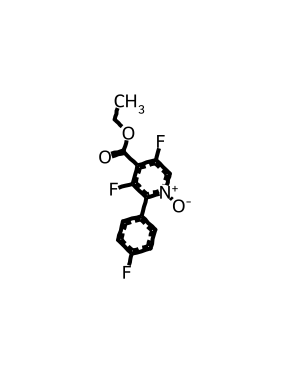 CCOC(=O)c1c(F)c[n+]([O-])c(-c2ccc(F)cc2)c1F